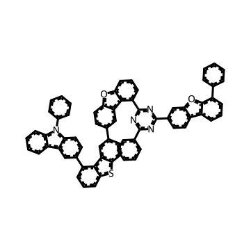 c1ccc(-c2nc(-c3ccc4c(c3)oc3c(-c5ccccc5)cccc34)nc(-c3cccc4oc5ccc(-c6ccc7sc8cccc(-c9ccc%10c(c9)c9ccccc9n%10-c9ccccc9)c8c7c6)cc5c34)n2)cc1